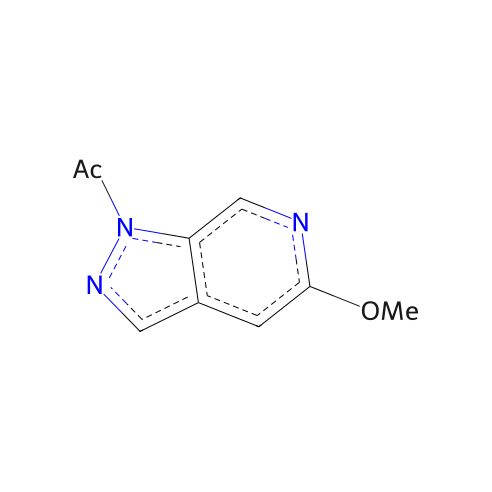 COc1cc2cnn(C(C)=O)c2cn1